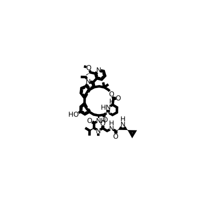 CCn1c(-c2cccnc2[C@H](C)OC)c2c3cc(ccc31)-c1cc(O)cc(c1)C[C@H](NC(=O)[C@H](C(C)C)N(C)C(=O)CNC(=O)[C@@H]1N[C@@H]1C1CC1)C(=O)N1CCC[C@H](N1)C(=O)OCC(C)(C)C2